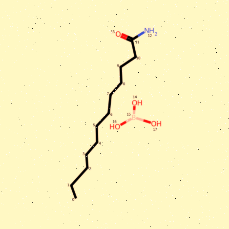 CCCCCCCCCCCC(N)=O.OB(O)O